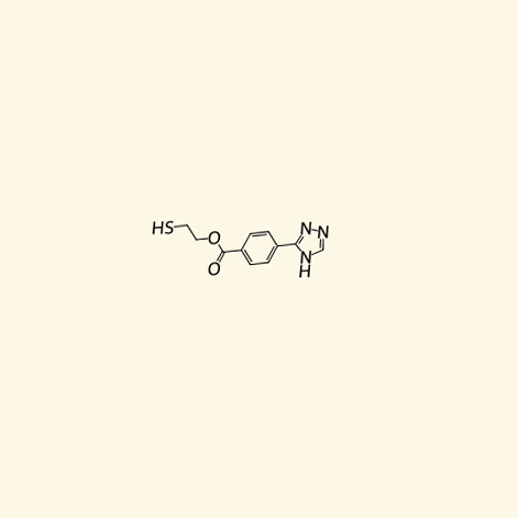 O=C(OCCS)c1ccc(-c2nnc[nH]2)cc1